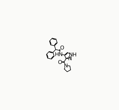 O=C(Nc1c[nH]nc1C(=O)N1CCCC1)C(c1ccccc1)c1ccccc1